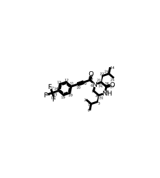 CC(C)C[C@H]1CN(C(=O)C#Cc2ccc(C(F)(F)F)cc2)[C@@H](CC(C)C)C(=O)N1